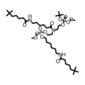 COOP(=O)(OCCCCCCNC(=O)CCCCC(C)(C)C)OCCN(CCOP(=O)(OOC)OC(C)(C)C)C(=O)CCCCCNC(=O)CCCCC(C)(C)C